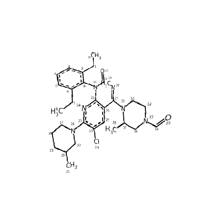 CCc1cccc(CC)c1N(C=O)c1nc(N2CCCC(C)C2)c(Cl)cc1/C(=N\C)N1CCN(C=O)CC1C